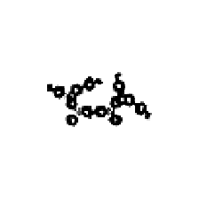 C=Cc1ccc(-c2ccc3c(c2)c2cc(N(C4=CC=CCC4)c4ccc(-c5ccc(N(c6ccccc6)c6ccc7c(c6)c6cc(-c8ccc(C=C)cc8)ccc6n7-c6ccc(C=C)cc6)cc5)cc4)ccc2n3-c2ccc(C=C)cc2)cc1